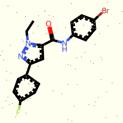 CCn1nc(-c2ccc(F)cc2)cc1C(=O)Nc1ccc(Br)cc1